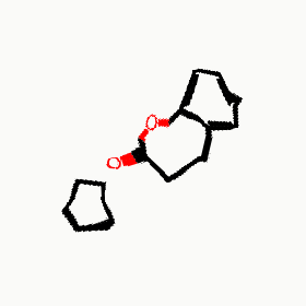 C1CCCC1.O=C1CCc2ccccc2O1